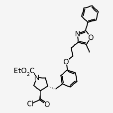 CCOC(=O)N1C[C@H](Cc2cccc(OCCc3nc(-c4ccccc4)oc3C)c2)[C@@H](C(=O)Cl)C1